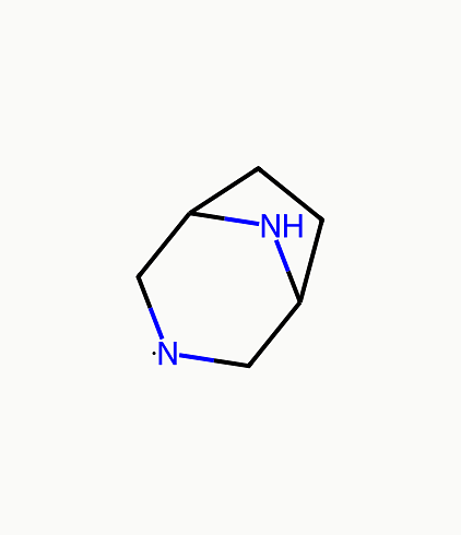 C1CC2C[N]CC1N2